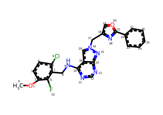 COc1ccc(Cl)c(CNc2ncnc3nn(Cc4coc(-c5ccccc5)n4)cc23)c1F